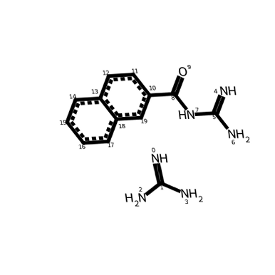 N=C(N)N.N=C(N)NC(=O)c1ccc2ccccc2c1